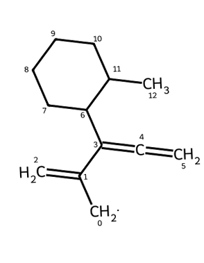 [CH2]C(=C)C(=C=C)C1CCCCC1C